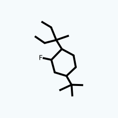 CCC(C)(CC)C1CCC(C(C)(C)C)CC1F